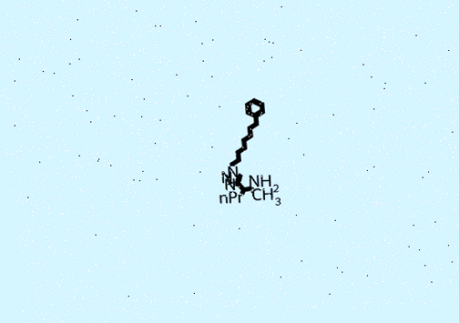 CCCC([C](C)N)c1cn(CCCCCCCCc2ccccc2)nn1